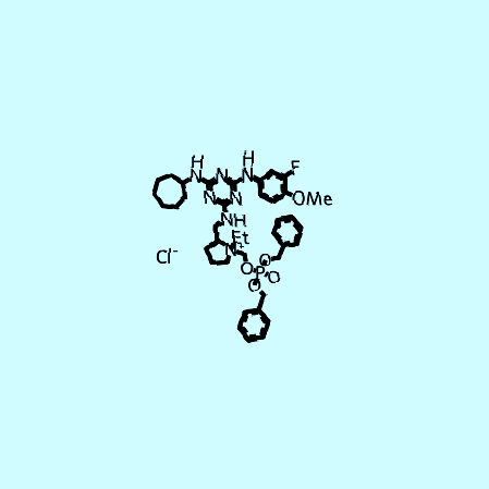 CC[N+]1(COP(=O)(OCc2ccccc2)OCc2ccccc2)CCCC1CNc1nc(Nc2ccc(OC)c(F)c2)nc(NC2CCCCCC2)n1.[Cl-]